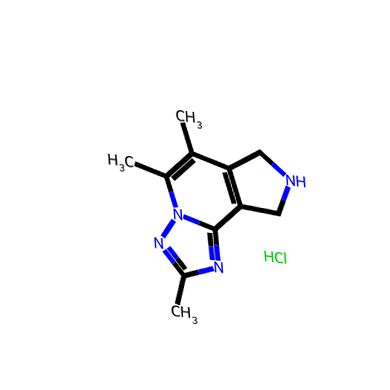 Cc1nc2c3c(c(C)c(C)n2n1)CNC3.Cl